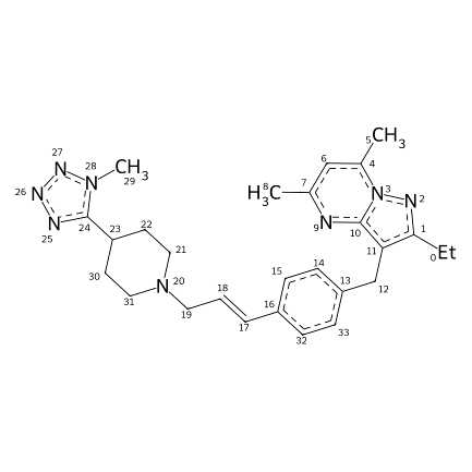 CCc1nn2c(C)cc(C)nc2c1Cc1ccc(C=CCN2CCC(c3nnnn3C)CC2)cc1